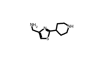 NCc1csc(C2CCNCC2)n1